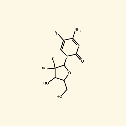 Nc1nc(=O)n(C2OC(CO)C(O)C2(F)[18F])cc1[18F]